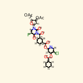 CC(=O)OC[C@H]1O[C@@H](n2cc(F)c(=O)n(C(=O)c3cccc(C(=O)Oc4cc(OC(=O)c5ccccc5)c(Cl)cn4)c3)c2=O)C[C@@H]1OC(C)=O